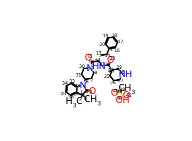 CC1(C)C(=O)N(C2CCN(C(=O)[C@H](CCc3ccccc3)NC(=O)[C@@H]3CCCNC3)CC2)c2ccccc21.CS(=O)(=O)O